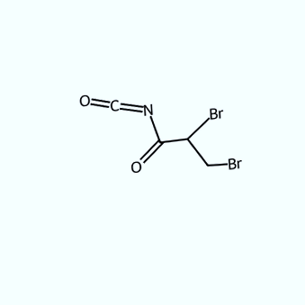 O=C=NC(=O)C(Br)CBr